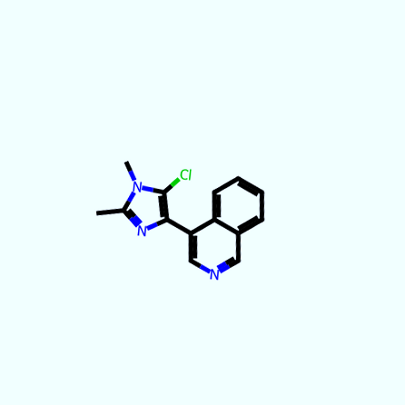 Cc1nc(-c2cncc3ccccc23)c(Cl)n1C